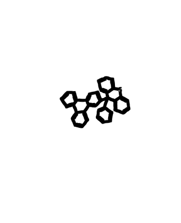 c1ccc(C2(c3ccc4c5ccccc5c5ccccc5c4c3)c3ccccc3Sc3ccccc32)cc1